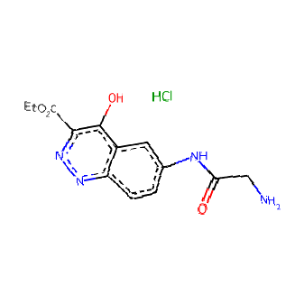 CCOC(=O)c1nnc2ccc(NC(=O)CN)cc2c1O.Cl